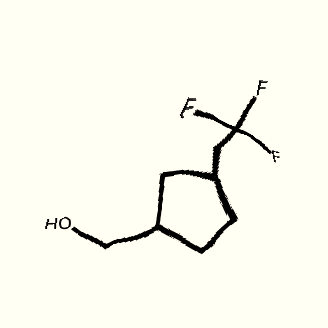 OCC1CCC(C(F)(F)F)C1